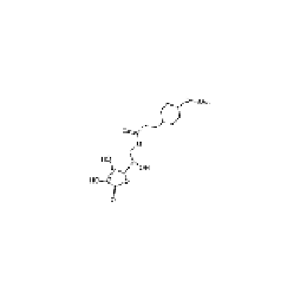 CCCCCCCCOC1CCC(CCC(=O)OCC(O)C2OC(=O)C(O)=C2O)CC1